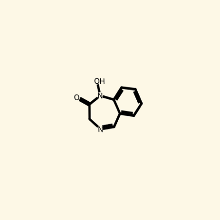 O=C1CN=Cc2ccccc2N1O